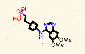 COc1cc2ncnc(Nc3ccc(CCP(=O)(O)O)cc3)c2cc1OC